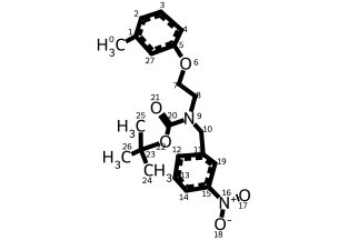 Cc1cccc(OCCN(Cc2cccc([N+](=O)[O-])c2)C(=O)OC(C)(C)C)c1